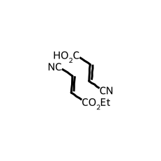 CCOC(=O)C=CC#N.N#CC=CC(=O)O